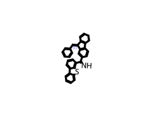 N=C(c1ccc2c(c1)/C(=C\c1ccccc1)C1=C2CCC=C1)c1cccc2c1sc1ccccc12